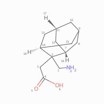 NCC1(CC(=O)O)[C@H]2CC3C[C@H](C2)C[C@H]1C3